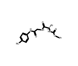 CC(C)OC(=O)N[C@H](C(=O)NCC(=O)Nc1ccc(C#N)cc1)C(C)C